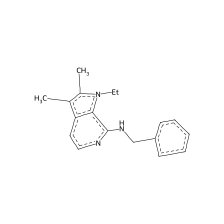 CCn1c(C)c(C)c2ccnc(NCc3ccccc3)c21